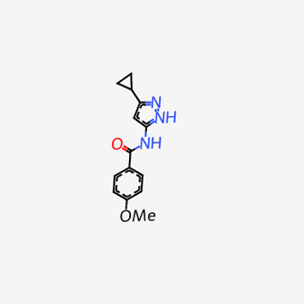 COc1ccc(C(=O)Nc2cc(C3CC3)n[nH]2)cc1